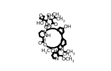 CCn1c(-c2cccnc2[C@H](C)OC)c2c3cc(ccc31)-c1cc(O)cc(c1)C[C@H](NC(=O)[C@H](C(C)C)N(C)C(=O)C1(O)COC1)C(=O)N1CCC[C@H](N1)C(=O)OCC(C)(C)C2